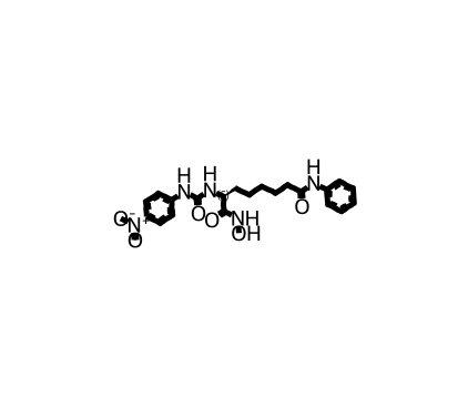 O=C(CCCCC[C@H](NC(=O)Nc1ccc([N+](=O)[O-])cc1)C(=O)NO)Nc1ccccc1